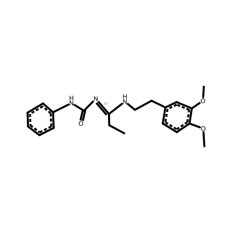 CC/C(=N\C(=O)Nc1ccccc1)NCCc1ccc(OC)c(OC)c1